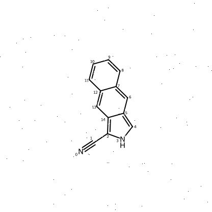 N#Cc1[nH]cc2cc3ccccc3cc12